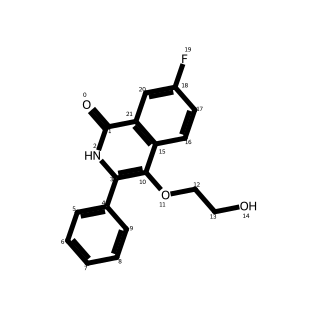 O=c1[nH]c(-c2ccccc2)c(OCCO)c2ccc(F)cc12